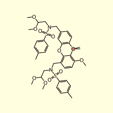 COc1ccc(CN(CC(OC)OC)S(=O)(=O)c2ccc(C)cc2)cc1Oc1c(CN(CC(OC)OC)S(=O)(=O)c2ccc(C)cc2)ccc(OC)c1OC